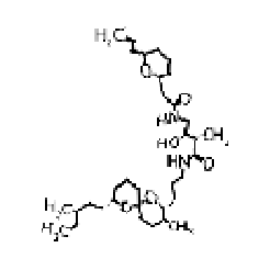 C=CCC1CCCC(CC(=O)NC[C@H](O)[C@H](C)C(=O)NCCC[C@H]2OC3(CCC[C@@H](CC[C@H](C)C=C)O3)CCC2C)O1